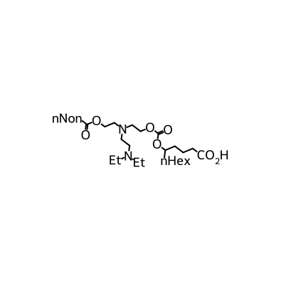 CCCCCCCCCC(=O)OCCN(CCOC(=O)OC(CCCCCC)CCCC(=O)O)CCN(CC)CC